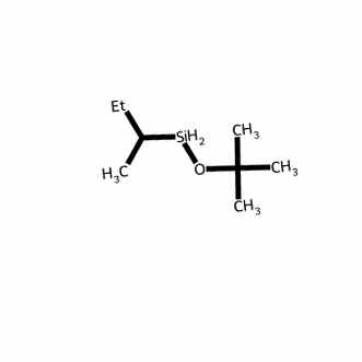 CCC(C)[SiH2]OC(C)(C)C